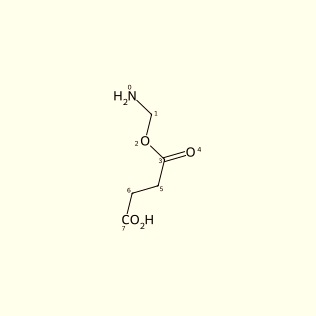 NCOC(=O)CCC(=O)O